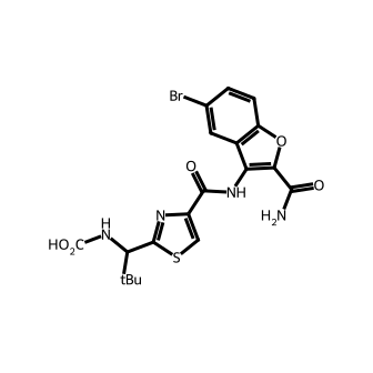 CC(C)(C)C(NC(=O)O)c1nc(C(=O)Nc2c(C(N)=O)oc3ccc(Br)cc23)cs1